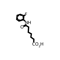 O=C(O)CCCCCC(=O)Nc1ccccc1F